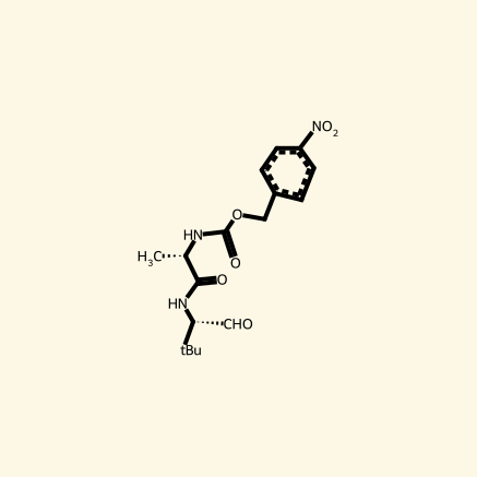 C[C@H](NC(=O)OCc1ccc([N+](=O)[O-])cc1)C(=O)N[C@H](C=O)C(C)(C)C